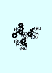 CC(C)(C)CC(C)(C)c1cc(OP(Oc2cc(Cc3ccccc3)c(O)c(Cc3ccccc3)c2)Oc2cc(C(C)(C)C)c(O)c(C(C)(C)CC(C)(C)C)c2)cc(C(C)(C)C)c1O